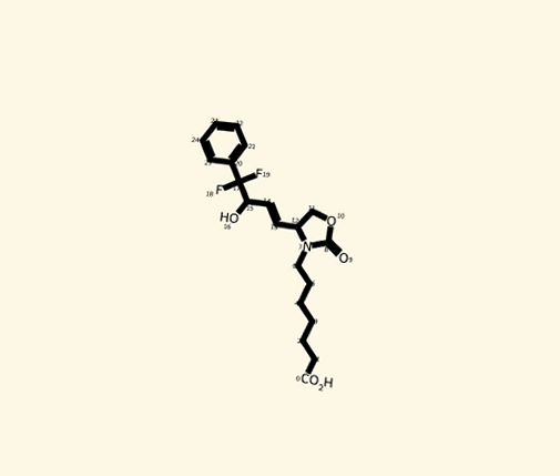 O=C(O)CCCCCCN1C(=O)OCC1/C=C/C(O)C(F)(F)c1ccccc1